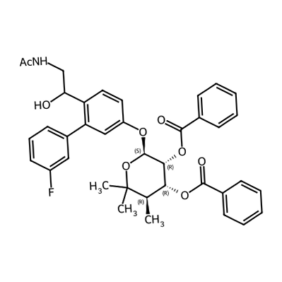 CC(=O)NCC(O)c1ccc(O[C@@H]2OC(C)(C)[C@H](C)[C@@H](OC(=O)c3ccccc3)[C@H]2OC(=O)c2ccccc2)cc1-c1cccc(F)c1